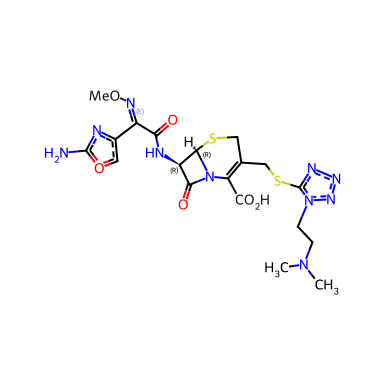 CO/N=C(/C(=O)N[C@@H]1C(=O)N2C(C(=O)O)=C(CSc3nnnn3CCN(C)C)CS[C@H]12)c1coc(N)n1